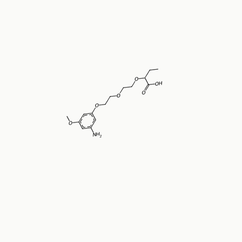 CCC(OCCOCCOc1cc(N)cc(OC)c1)C(=O)O